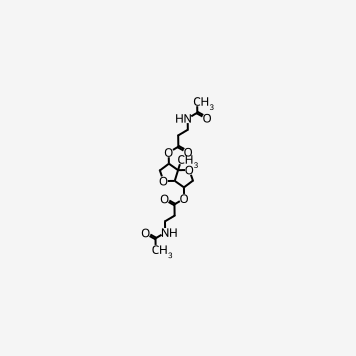 CC(=O)NCCC(=O)OC1COC2(C)C(OC(=O)CCNC(C)=O)COC12